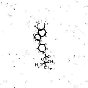 COc1c(F)ccc2c(C3CCN(C(=O)OC(C)(C)C)CC3)noc12